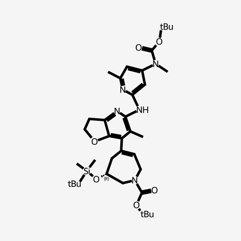 Cc1cc(N(C)C(=O)OC(C)(C)C)cc(Nc2nc3c(c(C4=CCN(C(=O)OC(C)(C)C)C[C@H](O[Si](C)(C)C(C)(C)C)C4)c2C)OCC3)n1